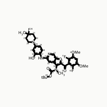 COc1cc(OC)c(F)c(C(=O)c2oc3cnc(Nc4ccc(N5CCC(C)(F)CC5)cc4O)cc3c2N(C)C(=O)OC(C)(C)C)c1F